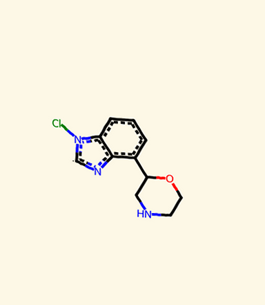 Cln1[c]nc2c(C3CNCCO3)cccc21